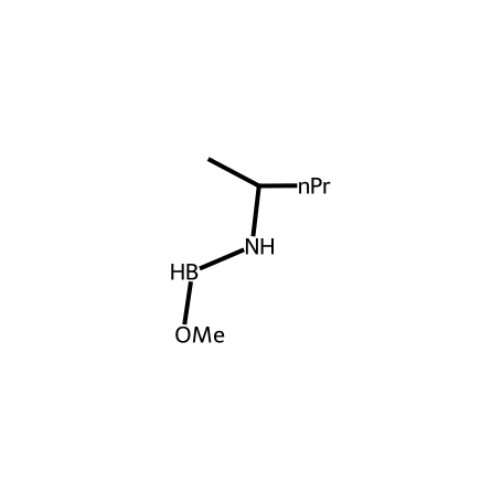 CCCC(C)NBOC